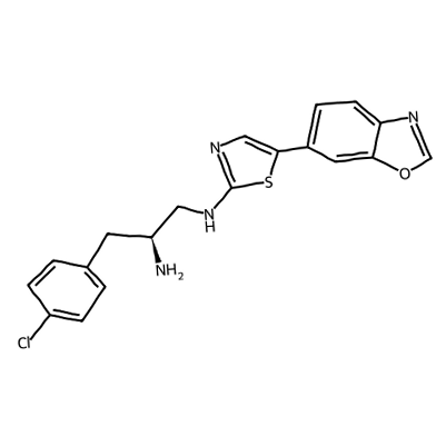 N[C@H](CNc1ncc(-c2ccc3ncoc3c2)s1)Cc1ccc(Cl)cc1